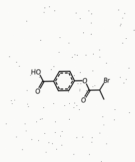 CC(Br)C(=O)Oc1ccc(C(=O)O)cc1